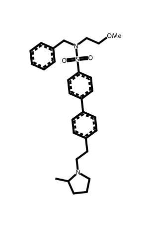 COCCN(Cc1ccccc1)S(=O)(=O)c1ccc(-c2ccc(CCN3CCCC3C)cc2)cc1